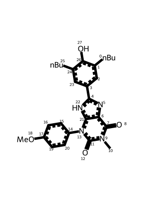 CCCCc1cc(-c2nc3c(=O)n(C)c(=O)n(-c4ccc(OC)cc4)c3[nH]2)cc(CCCC)c1O